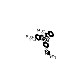 CCCc1cn(-c2ccc(S(=O)(=O)N(Cc3ccc(OC(F)(F)F)cc3)c3sc4ccccc4c3C)cc2)cn1